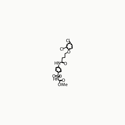 COC(=O)NS(=O)(=O)c1ccc(NC(=O)CCCOc2ccc(Cl)cc2Cl)cc1